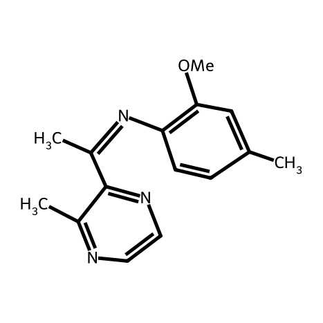 COc1cc(C)ccc1N=C(C)c1nccnc1C